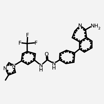 Cc1cn(-c2cc(NC(=O)Nc3ccc(-c4cccc5c(N)nccc45)cc3)cc(C(F)(F)F)c2)cn1